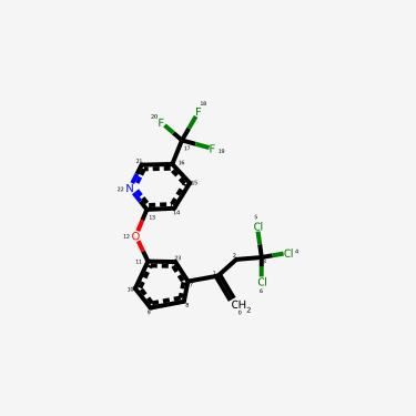 C=C(CC(Cl)(Cl)Cl)c1cccc(Oc2ccc(C(F)(F)F)cn2)c1